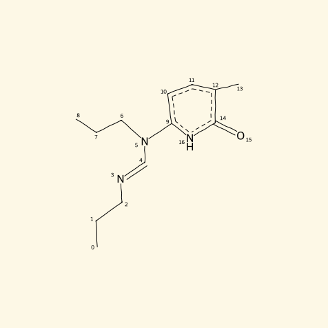 CCCN=CN(CCC)c1ccc(C)c(=O)[nH]1